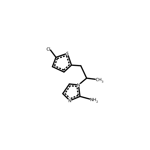 CC(Cc1ccc(Cl)s1)n1ccnc1N